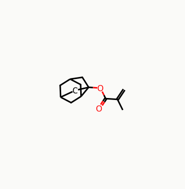 C=C(C)C(=O)OC12CC3CC(CC1C3)C2